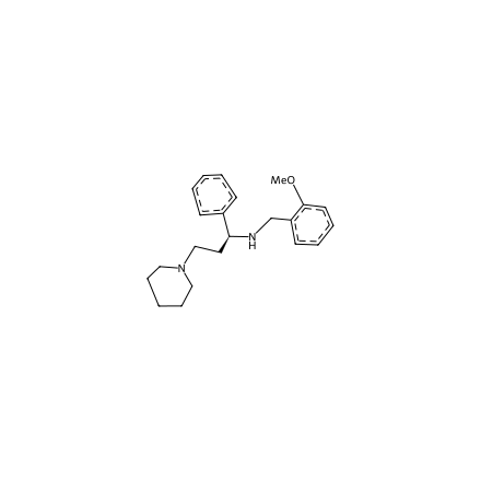 COc1ccccc1CN[C@@H](CCN1CCCCC1)c1ccccc1